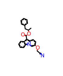 CC(Cc1ccccc1)OC(=O)c1c2ccccc2n2cc(OCC#N)ccc12